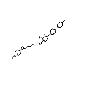 [CH2-][C+]1CCC(OCCCCCCOc2ccc(-c3ccc(-c4ccc(C)cc4)cc3)nc2F)CC1